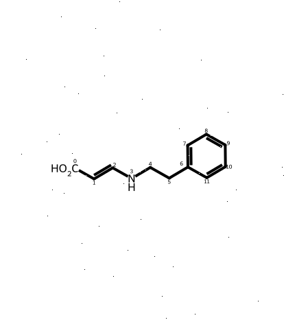 O=C(O)C=CNCCc1ccccc1